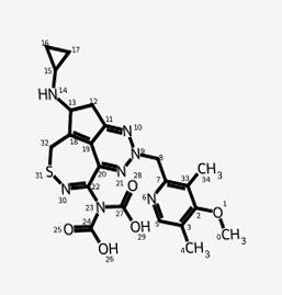 COc1c(C)cnc(CN2N=C3CC(NC4CC4)C4=C3C(=N2)C(N(C(=O)O)C(=O)O)=NSC4)c1C